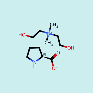 C[N+](C)(CCO)CCO.O=C([O-])[C@@H]1CCCN1